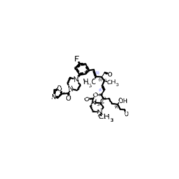 C/C(=C\c1cc(F)cc(N2CCN(C(=O)c3cnco3)CC2)c1)[C@@H](C=O)[C@@H](C)/C=C/[C@H](OC(=O)N1CCN(C)CC1)[C@@H](C)CC[C@@H](O)CC=O